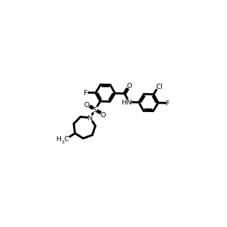 CC1CCCN(S(=O)(=O)c2cc(C(=O)Nc3ccc(F)c(Cl)c3)ccc2F)CC1